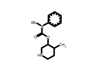 CC1CCNCC1OC(=O)N(c1ccccc1)C(C)(C)C